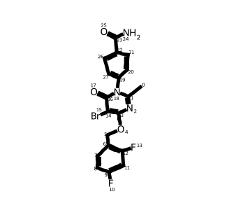 Cc1nc(OCc2ccc(F)cc2F)c(Br)c(=O)n1-c1ccc(C(N)=O)cc1